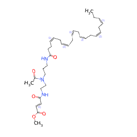 CC/C=C\C/C=C\C/C=C\C/C=C\C/C=C\C/C=C\CCC(=O)NCCCN(CCNC(=O)/C=C/C(=O)OC)C(C)=O